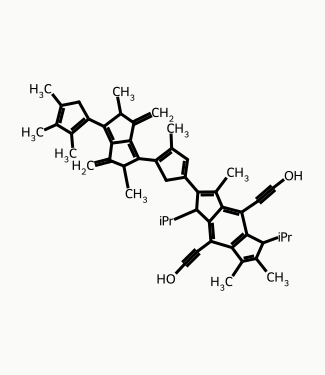 C=C1C2=C(C3=C(C)C(C)=C(C)C3)C(C)C(=C)C2=C(C2=C(C)C=C(C3=C(C)c4c(C#CO)c5c(c(C#CO)c4C3C(C)C)C(C)=C(C)C5C(C)C)C2)C1C